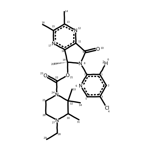 [2H]c1cc(Cl)cnc1N1C(=O)c2nc(C)c(C)nc2[C@]1(C)OC(=O)N1CCN(CC)C(C)C1(C)C